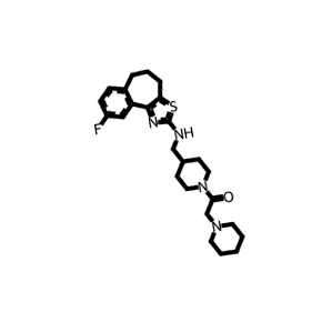 O=C(CN1CCCCC1)N1CCC(CNc2nc3c(s2)CCCc2ccc(F)cc2-3)CC1